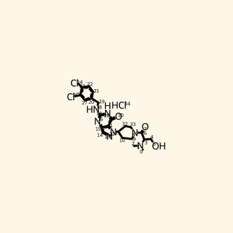 CN(C)C(CO)C(=O)N1CCC(n2ncc3nc(NCc4ccc(Cl)c(Cl)c4)[nH]c(=O)c32)CC1.Cl